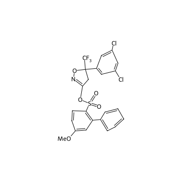 COc1ccc(S(=O)(=O)OC2=NOC(c3cc(Cl)cc(Cl)c3)(C(F)(F)F)C2)c(-c2ccccc2)c1